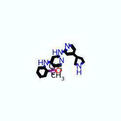 CP(C)(=O)c1ccccc1Nc1ccnc(Nc2cc(C3CCNC3)ccn2)c1